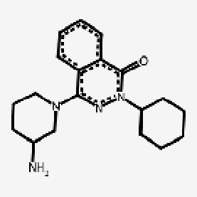 NC1CCCN(c2nn(C3CCCCC3)c(=O)c3ccccc23)C1